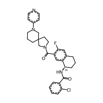 O=C(N[C@@H]1CCCc2cc(F)c(C(=O)N3CCC4(CCCN(c5ccncc5)C4)C3)cc21)c1ccccc1Cl